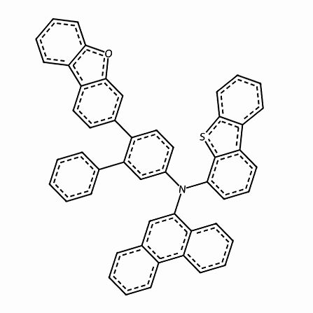 c1ccc(-c2cc(N(c3cc4ccccc4c4ccccc34)c3cccc4c3sc3ccccc34)ccc2-c2ccc3c(c2)oc2ccccc23)cc1